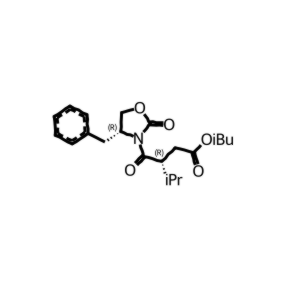 CC(C)COC(=O)C[C@@H](C(=O)N1C(=O)OC[C@H]1Cc1ccccc1)C(C)C